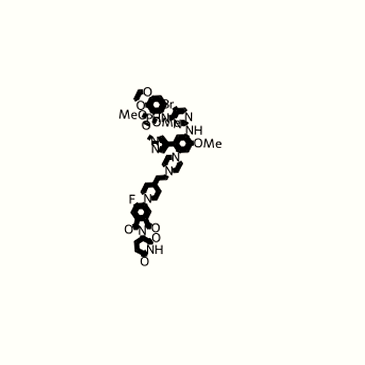 COc1cc(N2CCN(CCC3CCN(c4cc5c(cc4F)C(=O)N(C4CCC(=O)NC4=O)C5=O)CC3)CC2)c(-c2cnn(C)c2)cc1Nc1ncc(Br)c(Nc2ccc3c(c2P(=O)(OC)OC)OCCO3)n1